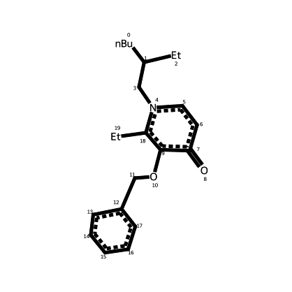 CCCCC(CC)Cn1ccc(=O)c(OCc2ccccc2)c1CC